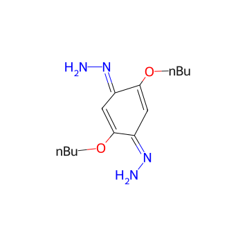 CCCCOC1=CC(=NN)C(OCCCC)=CC1=NN